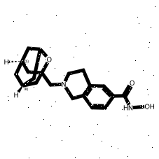 O=C(NO)c1ccc2c(c1)CCN(CC13C[C@@H]4CC(C[C@@H](C4)C1)O3)C2